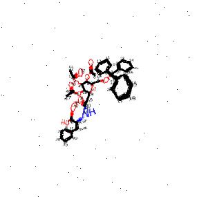 CC(=O)OC1C(COC(c2ccccc2)(c2ccccc2)c2ccccc2)OC(CC(=O)NC(Cc2ccccc2)C(=O)O)C(OC(C)=O)C1OC(C)=O